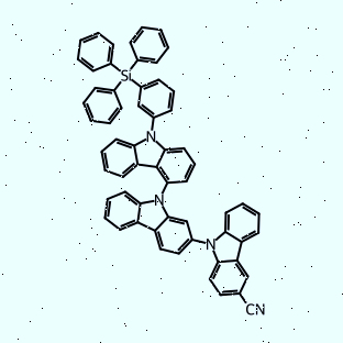 N#Cc1ccc2c(c1)c1ccccc1n2-c1ccc2c3ccccc3n(-c3cccc4c3c3ccccc3n4-c3cccc([Si](c4ccccc4)(c4ccccc4)c4ccccc4)c3)c2c1